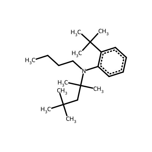 CCCCN(c1ccccc1C(C)(C)C)C(C)(C)CC(C)(C)C